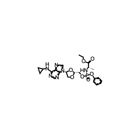 CCOC(=O)[C@H](C)N[P@](=O)(OC[C@@H]1OC[C@H](n2cnc3c(NC4CC4)ncnc32)O1)Oc1ccccc1